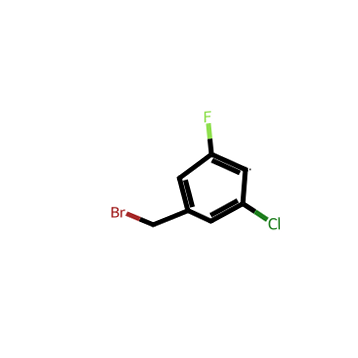 Fc1[c]c(Cl)cc(CBr)c1